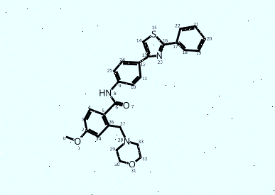 COc1ccc(C(=O)Nc2ccc(-c3csc(-c4ccccc4)n3)cc2)c(CN2CCOCC2)c1